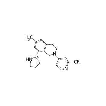 Cc1cc2c(c([C@@H]3CCCN3)c1)CN(c1ccnc(C(F)(F)F)c1)CC2